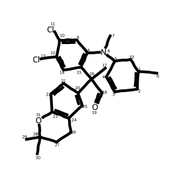 CC1=CC=CC(N(C)c2cc(Cl)c(Cl)cc2C(C)(C=O)c2ccc3c(c2)CCC(C)(C)O3)C1